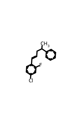 CC(CC=Cc1ccc(Cl)cc1F)c1ccccc1